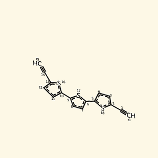 C#Cc1ccc(-c2ccc(-c3ccc(C#C)s3)s2)s1